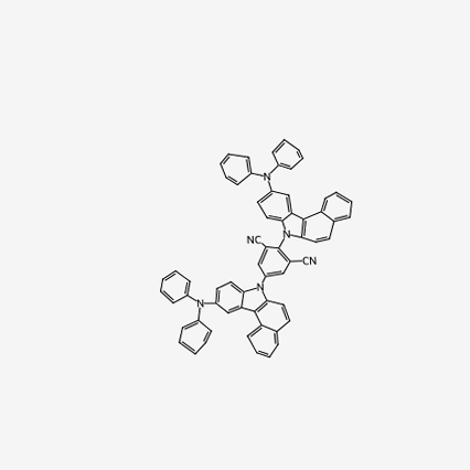 N#Cc1cc(-n2c3ccc(N(c4ccccc4)c4ccccc4)cc3c3c4ccccc4ccc32)cc(C#N)c1-n1c2ccc(N(c3ccccc3)c3ccccc3)cc2c2c3ccccc3ccc21